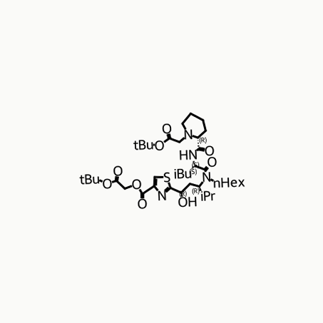 CCCCCCN(C(=O)[C@@H](NC(=O)[C@H]1CCCCN1CC(=O)OC(C)(C)C)[C@@H](C)CC)[C@H](C[C@@H](O)c1nc(C(=O)OCC(=O)OC(C)(C)C)cs1)C(C)C